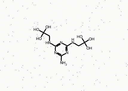 Nc1nc(NCC(O)(O)O)nc(NCC(O)(O)O)n1